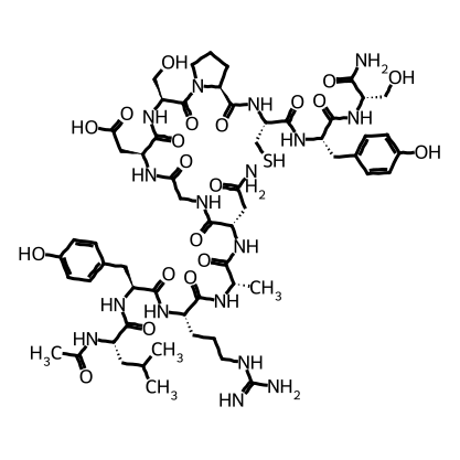 CC(=O)N[C@@H](CC(C)C)C(=O)N[C@@H](Cc1ccc(O)cc1)C(=O)N[C@@H](CCCNC(=N)N)C(=O)N[C@@H](C)C(=O)N[C@@H](CC(N)=O)C(=O)NCC(=O)N[C@@H](CC(=O)O)C(=O)N[C@@H](CO)C(=O)N1CCC[C@H]1C(=O)N[C@@H](CS)C(=O)N[C@@H](Cc1ccc(O)cc1)C(=O)N[C@@H](CO)C(N)=O